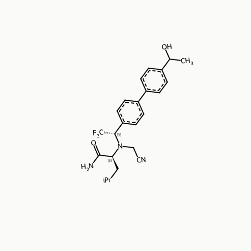 CC(C)C[C@@H](C(N)=O)N(CC#N)[C@@H](c1ccc(-c2ccc(C(C)O)cc2)cc1)C(F)(F)F